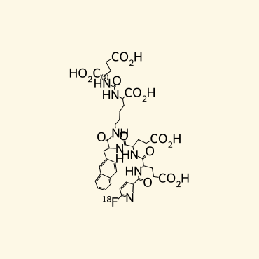 O=C(O)CCC(NC(=O)c1ccc([18F])nc1)C(=O)NC(CCC(=O)O)C(=O)NC(Cc1ccc2ccccc2c1)C(=O)NCCCCC(NC(=O)N[C@@H](CCC(=O)O)C(=O)O)C(=O)O